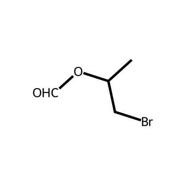 CC(CBr)OC=O